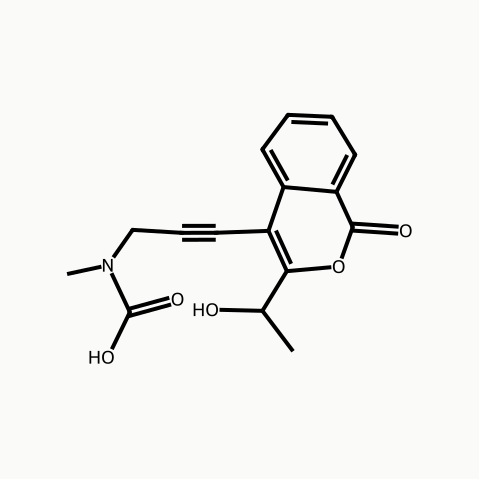 CC(O)c1oc(=O)c2ccccc2c1C#CCN(C)C(=O)O